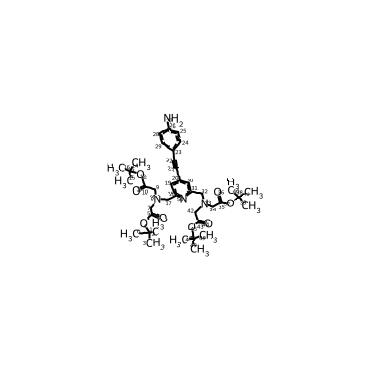 CC(C)(C)OC(=O)CN(CC(=O)OC(C)(C)C)Cc1cc(C#Cc2ccc(N)cc2)cc(CN(CC(=O)OC(C)(C)C)CC(=O)OC(C)(C)C)n1